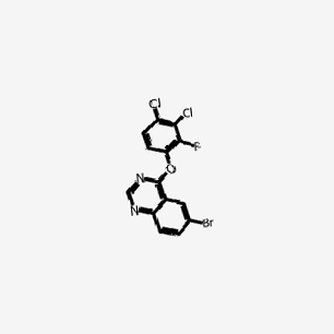 Fc1c(Oc2ncnc3ccc(Br)cc23)ccc(Cl)c1Cl